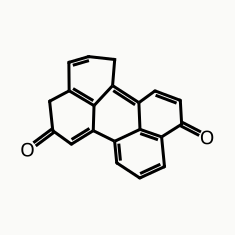 O=C1C=c2c3c(c4c5c(cccc25)C(=O)C=C4)CC=CC=3C1